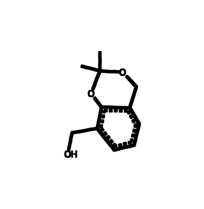 CC1(C)OCc2cccc(CO)c2O1